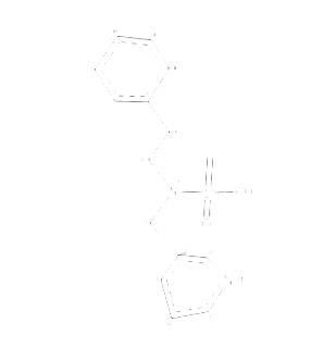 CS(=O)(=O)N(CCc1ccccc1)Cc1cccnc1